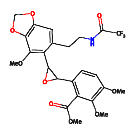 COC(=O)c1c(C2OC2c2c(CCNC(=O)C(F)(F)F)cc3c(c2OC)OCO3)ccc(OC)c1OC